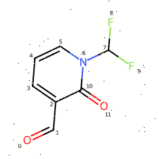 O=Cc1cccn(C(F)F)c1=O